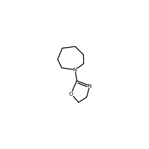 C1CCCN(C2=NCCO2)CC1